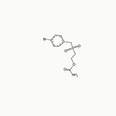 NC(=O)OCCS(=O)(=O)Cc1ccc(Br)cc1